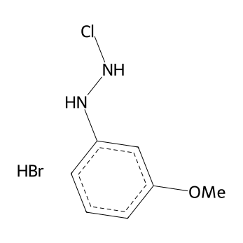 Br.COc1cccc(NNCl)c1